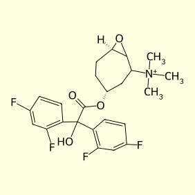 C[N+](C)(C)C1C[C@H](OC(=O)C(O)(c2ccc(F)cc2F)c2ccc(F)cc2F)CC[C@H]2OC12